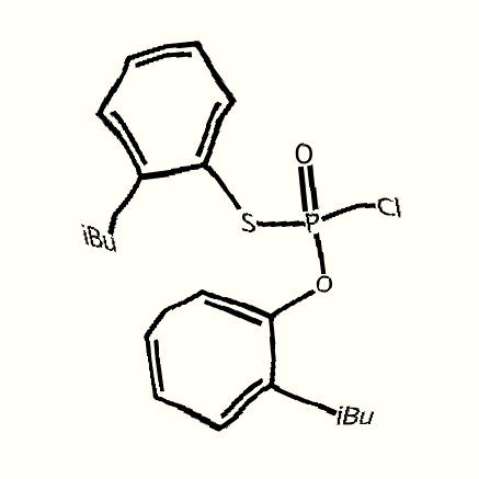 CCC(C)c1ccccc1OP(=O)(Cl)Sc1ccccc1C(C)CC